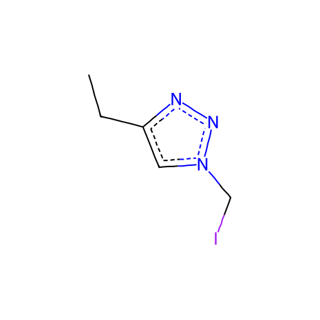 CCc1cn(CI)nn1